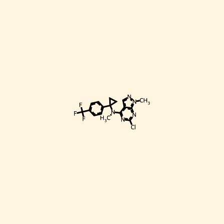 CN(c1nc(Cl)nc2c1cnn2C)C1(c2ccc(C(F)(F)F)cc2)CC1